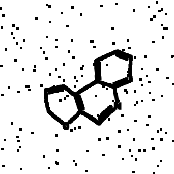 C1=Cc2c(cnc3ccccc23)OC1